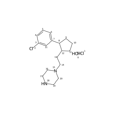 Cl.Cl.Clc1cccc(C2CCCC2CCN2CCNCC2)c1